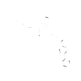 CCSCCCO[C@]1(C(=O)O)C[C@H](O)C(NC(C)=O)[C@H]([C@H](O)[C@H](O)CNC(=O)c2ccc(-c3ccccc3)cc2)O1